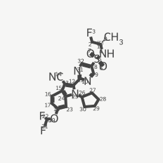 C[C@@H](CF)NS(=O)(=O)c1cnc(-c2c(C#N)c3ccc(OC(F)F)cc3n2C2CCCC2)nc1